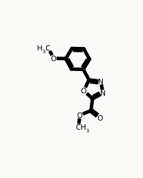 COC(=O)c1nnc(-c2cccc(OC)c2)o1